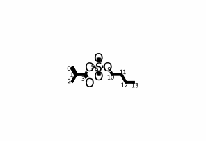 C=C(C)C(=O)OS(=O)(=O)OCCCC